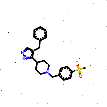 CS(=O)(=O)c1ccc(CN2CCC(c3[nH]ncc3Cc3ccccc3)CC2)cc1